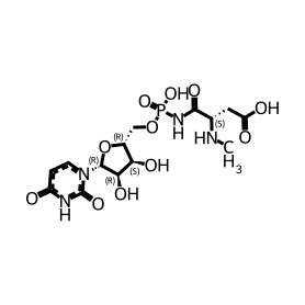 CN[C@@H](CC(=O)O)C(=O)NP(=O)(O)OC[C@H]1O[C@@H](n2ccc(=O)[nH]c2=O)[C@H](O)[C@@H]1O